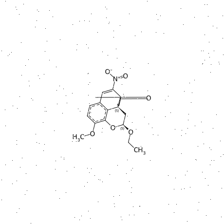 CCO[C@@H]1C[C@]23C=CC(=O)CC2C([N+](=O)[O-])=Cc2ccc(OC)c(c23)O1